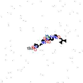 CC(C)(C)OC(=O)N1C[C@@H](CCCn2ccc(S(=O)(=O)NC(=O)c3ccc(-n4ccc(OCCC(C5CC5)C5CC5)n4)nc3Cl)n2)CC1(C)C